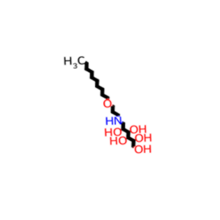 CCCCCCCCCCOCCCNC[C@H](O)[C@@H](O)[C@H](O)[C@H](O)CO